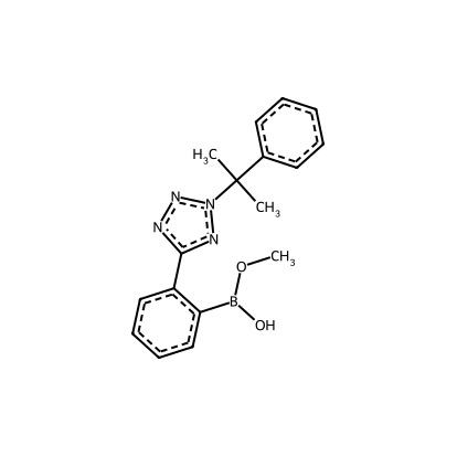 COB(O)c1ccccc1-c1nnn(C(C)(C)c2ccccc2)n1